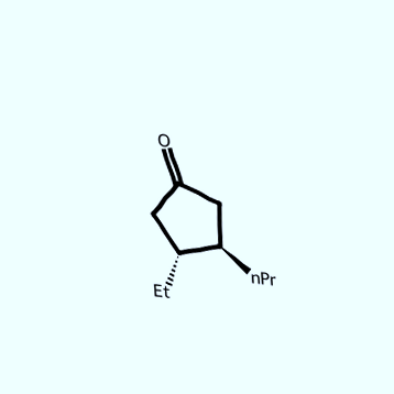 CCC[C@@H]1CC(=O)C[C@H]1CC